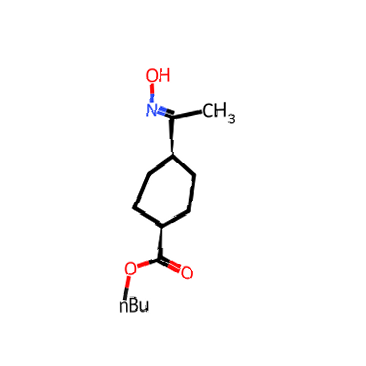 CCCCOC(=O)[C@H]1CC[C@@H](C(C)=NO)CC1